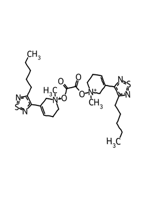 CCCCCc1nsnc1C1=CCC[N+](C)(OC(=O)C(=O)O[N+]2(C)CCC=C(c3nsnc3CCCCC)C2)C1